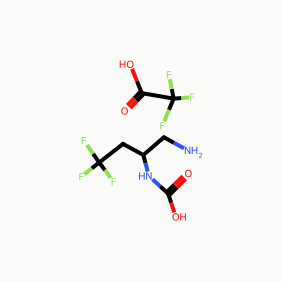 NCC(CC(F)(F)F)NC(=O)O.O=C(O)C(F)(F)F